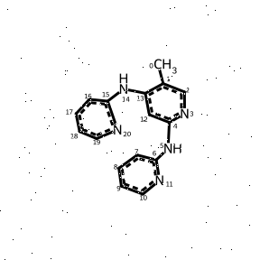 Cc1cnc(Nc2ccccn2)cc1Nc1ccccn1